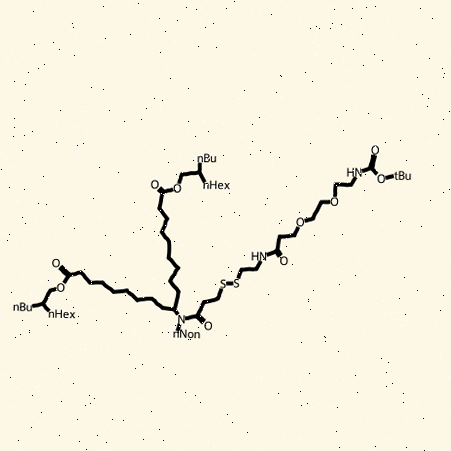 CCCCCCCCCN(C(=O)CCSSCCNC(=O)CCOCCOCCNC(=O)OC(C)(C)C)C(CCCCCCCCC(=O)OCC(CCCC)CCCCCC)CCCCCCCCC(=O)OCC(CCCC)CCCCCC